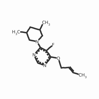 CC=CCOc1ncnc(N2CC(C)CC(C)C2)c1F